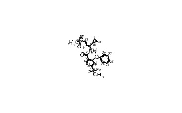 CC(F)(F)c1ncc(C(=O)NC(C=CS(C)(=O)=O)C2CC2)c(Oc2ccccc2)n1